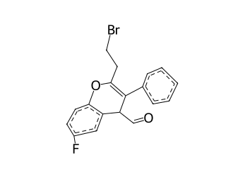 O=CC1C(c2ccccc2)=C(CCBr)Oc2ccc(F)cc21